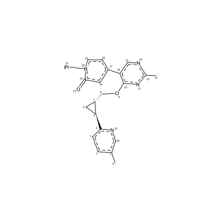 Cc1ccc([C@H]2C[C@@H]2COc2nc(C)ncc2-c2ccn(C(C)C)c(=O)c2)nc1